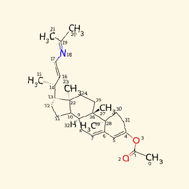 CC(=O)OC1=CC2=CC[C@H]3C4CC[C@H]([C@H](C)/C=C/N=C(C)C)[C@@]4(C)CC[C@]3(C)[C@@]2(C)CC1